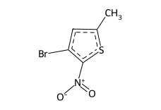 Cc1cc(Br)c([N+](=O)[O-])s1